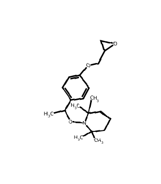 CC(ON1C(C)(C)CCCC1(C)C)c1ccc(OCC2CO2)cc1